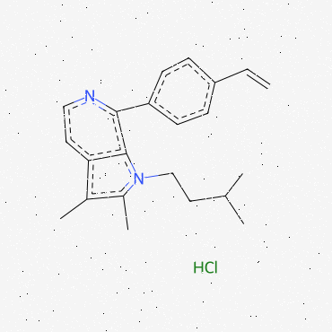 C=Cc1ccc(-c2nccc3c(C)c(C)n(CCC(C)C)c23)cc1.Cl